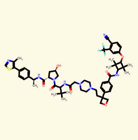 Cc1ncsc1-c1ccc([C@H](C)NC(=O)[C@@H]2C[C@@H](O)CN2C(=O)C(NC(=O)CN2CCN(CCC3(c4ccc(C(=O)NC5C(C)(C)C(Oc6ccc(C#N)c(C(F)(F)F)c6)C5(C)C)cc4)COC3)CC2)C(C)(C)C)cc1